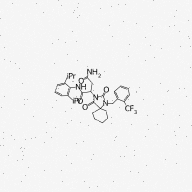 CC(C)c1cccc(C(C)C)c1NC(=O)C(CC(N)=O)N1C(=O)N(Cc2ccccc2C(F)(F)F)C2(CCCCC2)C1=O